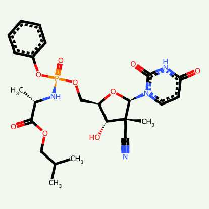 CC(C)COC(=O)[C@H](C)N[P@@](=O)(OC[C@H]1O[C@@H](n2ccc(=O)[nH]c2=O)[C@](C)(C#N)[C@@H]1O)Oc1ccccc1